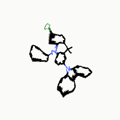 CC1(C)c2ccc(Cl)cc2N(c2ccccc2)c2ccc(-n3c4ccccc4c4ccccc43)cc21